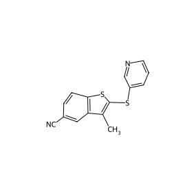 Cc1c(Sc2cccnc2)sc2ccc(C#N)cc12